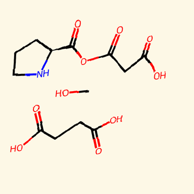 CO.O=C(O)CC(=O)OC(=O)[C@@H]1CCCN1.O=C(O)CCC(=O)O